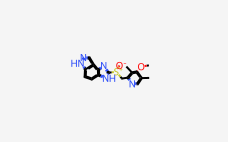 COc1c(C)cnc(C[S+]([O-])c2nc3c(ccc4[nH]ncc43)[nH]2)c1C